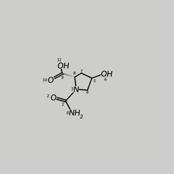 NC(=O)N1CC(O)C[C@H]1C(=O)O